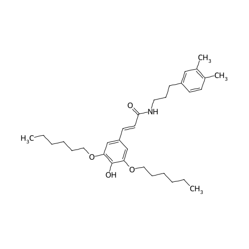 CCCCCCOc1cc(C=CC(=O)NCCCc2ccc(C)c(C)c2)cc(OCCCCCC)c1O